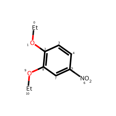 CCOc1ccc([N+](=O)[O-])cc1OCC